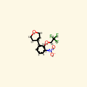 O=[N+]([O-])c1cccc(C2=CCOCC2)c1OCC(F)(F)F